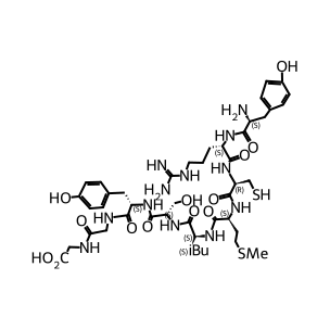 CC[C@H](C)[C@H](NC(=O)[C@H](CCSC)NC(=O)[C@H](CS)NC(=O)[C@H](CCCNC(=N)N)NC(=O)[C@@H](N)Cc1ccc(O)cc1)C(=O)N[C@@H](CO)C(=O)N[C@@H](Cc1ccc(O)cc1)C(=O)NCC(=O)NCC(=O)O